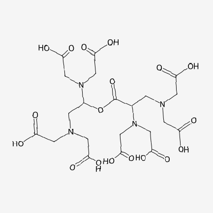 O=C(O)CN(CC(=O)O)CC(OC(=O)C(CN(CC(=O)O)CC(=O)O)N(CC(=O)O)CC(=O)O)N(CC(=O)O)CC(=O)O